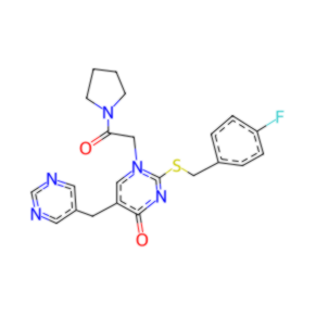 O=C(Cn1cc(Cc2cncnc2)c(=O)nc1SCc1ccc(F)cc1)N1CCCC1